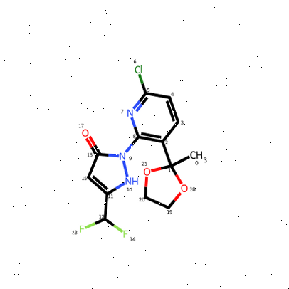 CC1(c2ccc(Cl)nc2-n2[nH]c(C(F)F)cc2=O)OCCO1